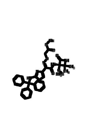 CC(C)(C)OC(=O)CO/N=C(\C(=O)N[C@@]1(OS(=O)(=O)O)C(=O)NC1(C)C)c1csc(NC(c2ccccc2)(c2ccccc2)c2ccccc2)n1